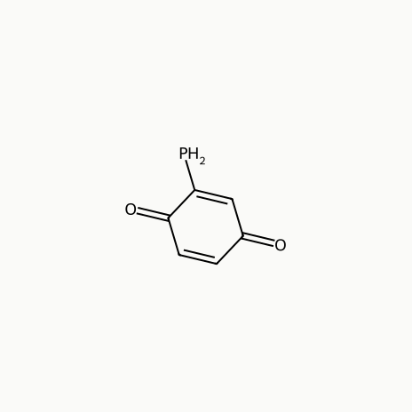 O=C1C=CC(=O)C(P)=C1